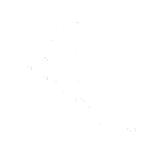 Nc1nc(-c2ccc(Cl)cc2Cl)c2cc(C(=O)Nc3ccc(S(N)(=O)=O)cc3)sc2n1